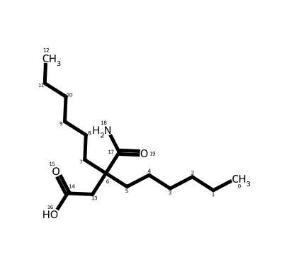 CCCCCCC(CCCCCC)(CC(=O)O)C(N)=O